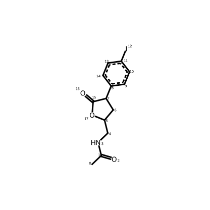 CC(=O)NCC1CC(c2ccc(I)cc2)C(=O)O1